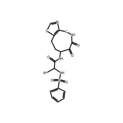 CC(C)C(NS(=O)(=O)c1ccccc1)C(=O)NC1CCc2scnc2CNC(=O)C1=O